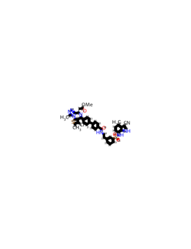 COC(=O)C[C@@H]1N=C(c2ccc(-c3ccc(C(=O)NCCc4cccc(S(=O)(=O)Nc5ccc(C)c6c(C#N)c[nH]c56)c4)cc3)cc2)c2c(sc(C)c2C)-n2c(C)nnc21